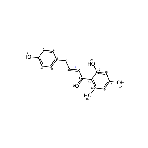 O=C(/C=C/Cc1ccc(O)cc1)c1c(O)cc(O)cc1O